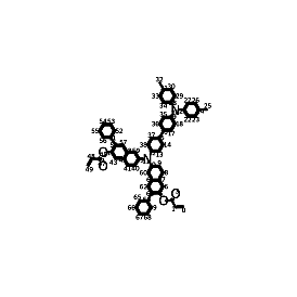 C=CC(=O)Oc1cc2ccc(N(c3ccc(-c4ccc(N(c5ccc(C)cc5)c5ccc(C)cc5)cc4)cc3)c3ccc4cc(OC(=O)C=C)c(-c5ccccc5)cc4c3)cc2cc1-c1ccccc1